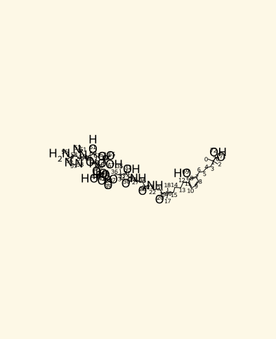 CC(C)(CCCCc1cccc(CCCCC(C)(C)C(=O)CCNC(=O)CCNC(=O)C(O)C(C)(C)COP(=O)(O)OP(=O)(O)OCC2OC(n3cnc4c(N)ncnc43)C(O)C2OP(=O)(O)O)c1O)C(=O)O